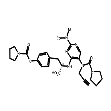 C#CCN(C(=O)N1CCCC1)c1cnc(N(CC)CC)nc1N[C@@H](Cc1ccc(OC(=O)N2CCCC2)cc1)C(=O)O